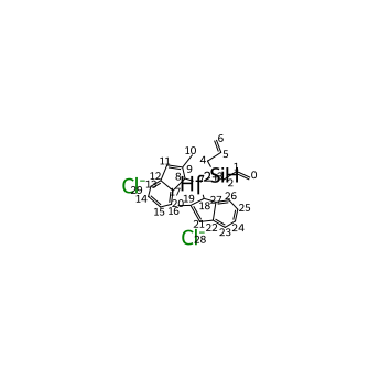 C=CC[SiH](CC=C)[Hf+2]([CH]1C(C)=Cc2ccccc21)[CH]1C(C)=Cc2ccccc21.[Cl-].[Cl-]